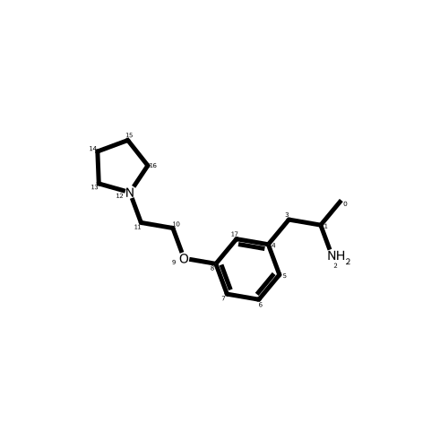 CC(N)Cc1cccc(OCCN2CCCC2)c1